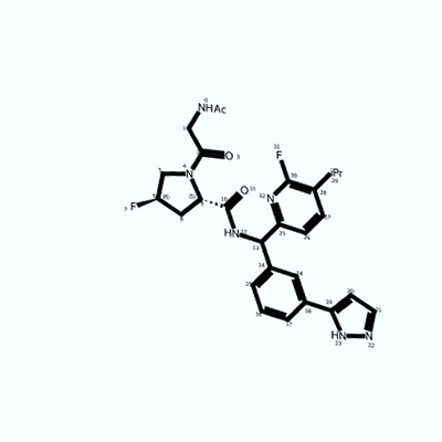 CC(=O)NCC(=O)N1C[C@H](F)C[C@H]1C(=O)NC(c1cccc(-c2ccn[nH]2)c1)c1ccc(C(C)C)c(F)n1